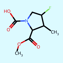 COC(=O)C1C(C)C(F)CN1C(=O)O